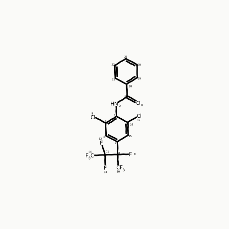 O=C(Nc1c(Cl)cc(C(F)(C(F)(F)F)C(F)(F)C(F)(F)F)cc1Cl)c1ccccc1